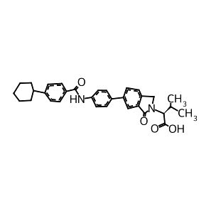 CC(C)[C@@H](C(=O)O)N1Cc2ccc(-c3ccc(NC(=O)c4ccc(C5CCCCC5)cc4)cc3)cc2C1=O